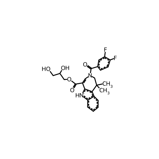 CC1(C)CN(C(=O)c2ccc(F)c(F)c2)C=C(C(=O)OCC(O)CO)c2[nH]c3ccccc3c21